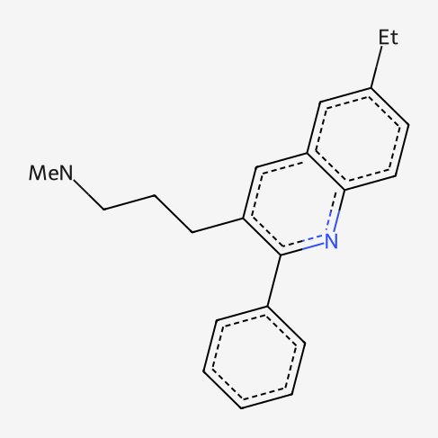 CCc1ccc2nc(-c3ccccc3)c(CCCNC)cc2c1